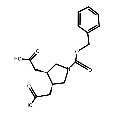 O=C(O)C[C@@H]1CN(C(=O)OCc2ccccc2)C[C@@H]1CC(=O)O